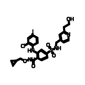 O=C(NOCC1CC1)c1ccc(S(=O)(=O)NCc2ccnc(CCO)c2)cc1Nc1ccc(I)cc1Cl